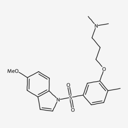 COc1ccc2c(ccn2S(=O)(=O)c2ccc(C)c(OCCCN(C)C)c2)c1